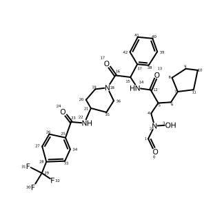 O=CN(O)CC(CC1CCCC1)C(=O)NC(C(=O)N1CCC(NC(=O)c2ccc(C(F)(F)F)cc2)CC1)c1ccccc1